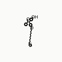 Oc1ccc2c(c1)OCC(c1ccccc1)C2c1ccc(OCCCCCCCCCCCN2CCCC2)cc1